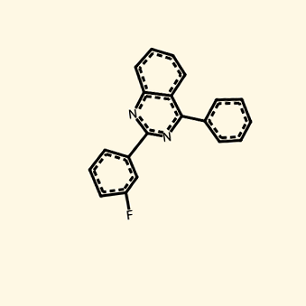 Fc1cccc(-c2nc(-c3ccccc3)c3ccccc3n2)c1